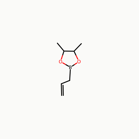 C=CCB1OC(C)C(C)O1